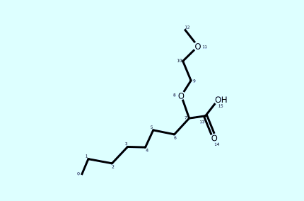 CCCCCCCC(OCCOC)C(=O)O